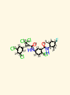 Cc1cc(F)cc(C)c1NC(=O)c1cc(NC(=O)[C@H]2[C@H](c3cc(Cl)cc(Cl)c3)C2(Cl)Cl)ccc1Cl